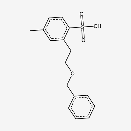 Cc1ccc(S(=O)(=O)O)c(CCOCc2ccccc2)c1